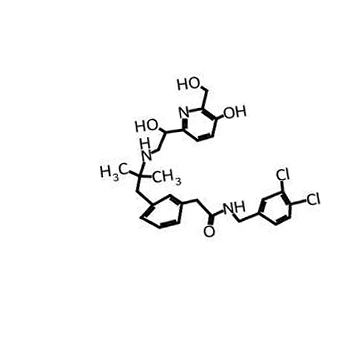 CC(C)(Cc1cccc(CC(=O)NCc2ccc(Cl)c(Cl)c2)c1)NCC(O)c1ccc(O)c(CO)n1